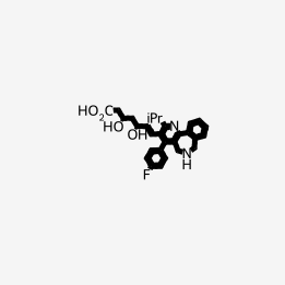 CC(C)c1nc2c(c(-c3ccc(F)cc3)c1/C=C/[C@@H](O)C[C@@H](O)CC(=O)O)CNCc1ccccc1-2